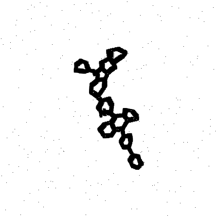 c1ccc(-c2ccc(-c3c4ccccc4c(-c4ccc(-c5ccc6c(c5)c5cc7ccccc7cc5n6-c5ccccc5)cn4)c4ccccc34)cc2)cc1